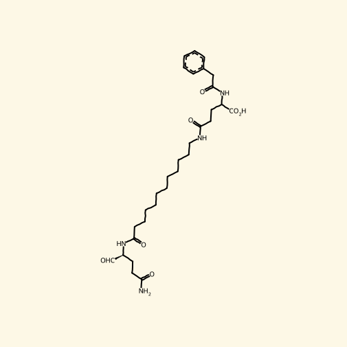 NC(=O)CC[C@@H](C=O)NC(=O)CCCCCCCCCCCNC(=O)CCC(NC(=O)Cc1ccccc1)C(=O)O